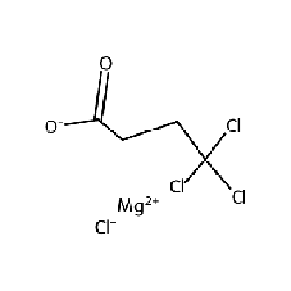 O=C([O-])CCC(Cl)(Cl)Cl.[Cl-].[Mg+2]